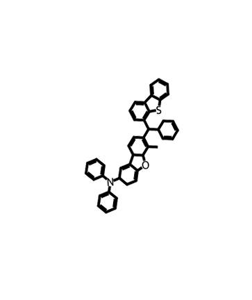 CC1=C(C(c2cccc3c2sc2ccccc23)C2C=CC=CC2)C=CC2C3=CC(N(c4ccccc4)c4ccccc4)CC=C3OC12